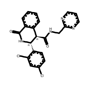 O=C1N[C@@H](c2ccc(Cl)cc2Cl)[C@H](C(=O)NCc2ncccn2)c2ccccc21